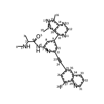 CNC(C)C(=O)Nc1cc(-c2ncnc3c(C)nn(C)c23)cc(C#Cc2cc(F)c3ncccc3c2)n1